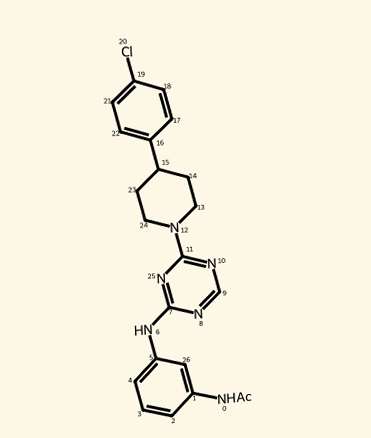 CC(=O)Nc1cccc(Nc2ncnc(N3CCC(c4ccc(Cl)cc4)CC3)n2)c1